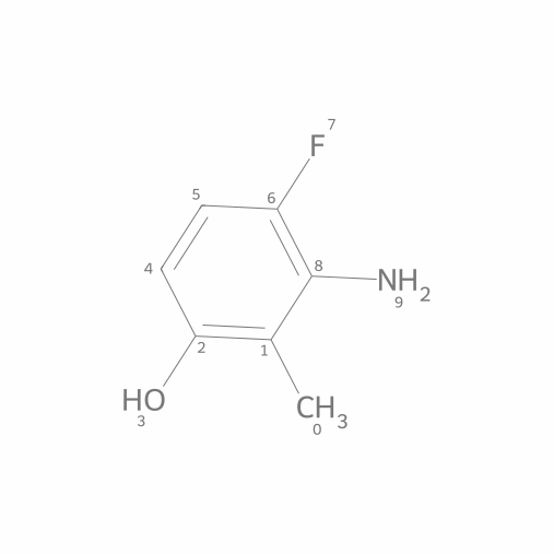 Cc1c(O)ccc(F)c1N